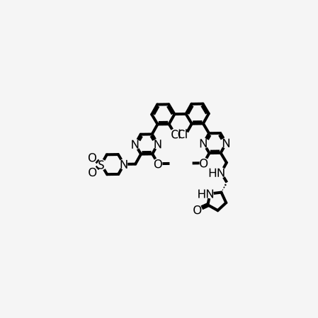 COc1nc(-c2cccc(-c3cccc(-c4cnc(CN5CCS(=O)(=O)CC5)c(OC)n4)c3Cl)c2Cl)cnc1CNC[C@@H]1CCC(=O)N1